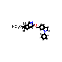 O=C(O)[C@H]1[C@@H]2Cc3cc(OCc4ccc5c(c4)N(c4ccccc4)CC5)ncc3[C@@H]21